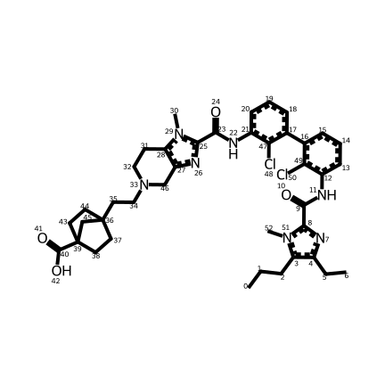 CCCc1c(CC)nc(C(=O)Nc2cccc(-c3cccc(NC(=O)c4nc5c(n4C)CCN(CCC46CCC(C(=O)O)(CC4)C6)C5)c3Cl)c2Cl)n1C